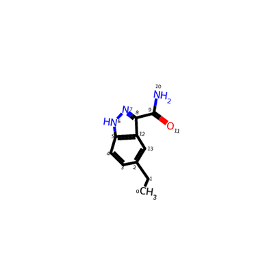 CCc1ccc2[nH]nc(C(N)=O)c2c1